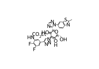 CCOC(=O)Nc1cc(-c2cn([C@H]3[C@@H](O)[C@@H](CO)O[C@@H](c4ncnn4-c4ccc5nc(C)sc5c4)[C@@H]3O)nn2)cc(F)c1F